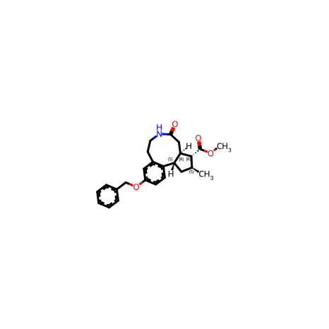 COC(=O)[C@H]1[C@@H]2CC(=O)NCCc3cc(OCc4ccccc4)ccc3[C@H]2C[C@@H]1C